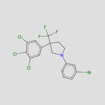 FC(F)(F)C1(c2cc(Cl)c(Cl)c(Cl)c2)CCN(c2cccc(Br)c2)C1